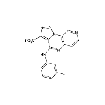 Cc1cccc(Nc2nc3ccncc3n3cnc(C(=O)O)c23)c1